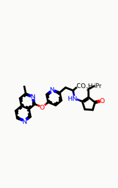 Cc1cc2ccncc2c(Oc2ccc(CC(NC3=C(CC(C)C)C(=O)CC3)C(=O)O)nc2)n1